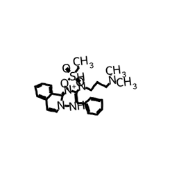 CCS(=O)(=O)O[N+]1=C2c3ccccc3C=CN2NC(c2ccccc2)=C1NCCCN(C)C